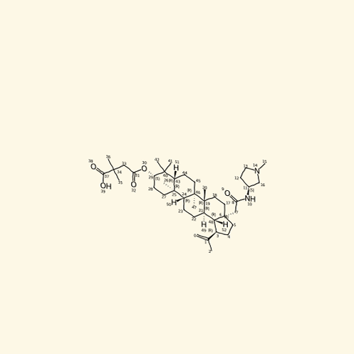 C=C(C)[C@@H]1CC[C@]2(CC(=O)N[C@H]3CCN(C)C3)CC[C@]3(C)[C@H](CC[C@@H]4[C@@]5(C)CC[C@H](OC(=O)CC(C)(C)C(=O)O)C(C)(C)[C@@H]5CC[C@]43C)[C@@H]12